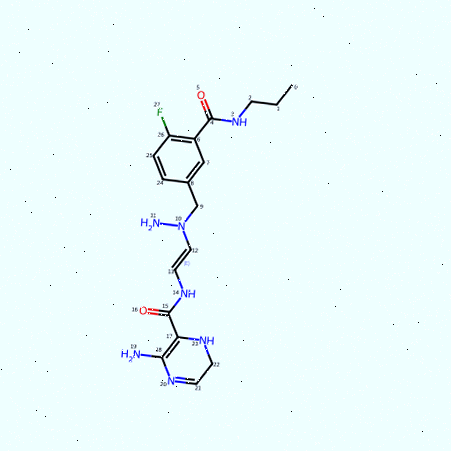 CCCNC(=O)c1cc(CN(N)/C=C/NC(=O)C2=C(N)N=CCN2)ccc1F